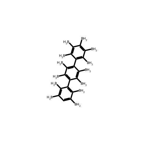 Bc1cc(B)c(B)c(-c2c(B)c(B)c(-c3c(B)c(B)c(B)c(B)c3B)c(B)c2B)c1B